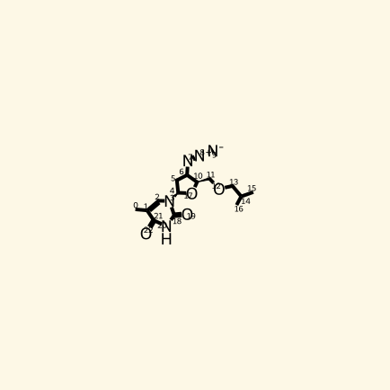 Cc1cn([C@H]2CC(N=[N+]=[N-])[C@@H](COCC(C)C)O2)c(=O)[nH]c1=O